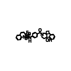 O=C(c1ccc(NS(=O)(=O)C2(F)C=Cc3ccccc3N2)cc1)N1CCC(O)(c2ccccc2Cl)CC1